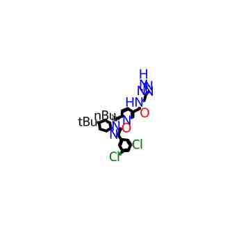 CCCC[C@H](c1ccc(C(=O)NCc2nn[nH]n2)cn1)N1C(=O)C(c2cc(Cl)cc(Cl)c2)=NC12CCC(C(C)(C)C)CC2